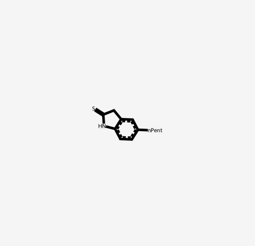 CCCCCc1ccc2c(c1)CC(=S)N2